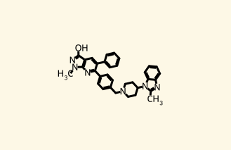 Cc1nc2ccccc2n1C1CCN(Cc2ccc(-c3nc4c(cc3-c3ccccc3)c(O)nn4C)cc2)CC1